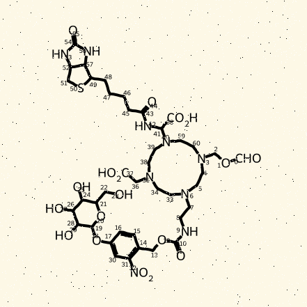 O=COCN1CCN(CCNC(=O)OCc2ccc(OC3OC(CO)C(O)C(O)C3O)cc2[N+](=O)[O-])CCN(CC(=O)O)CCN(C(NC(=O)CCCCC2SCC3NC(=O)NC32)C(=O)O)CC1